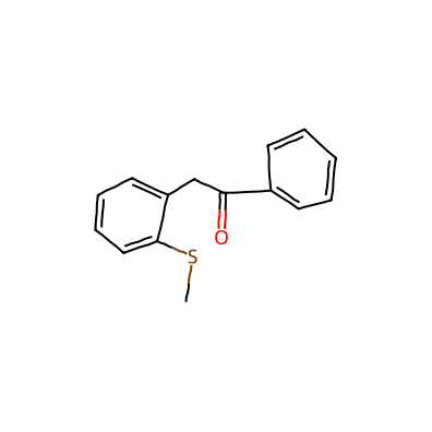 CSc1ccccc1CC(=O)c1ccccc1